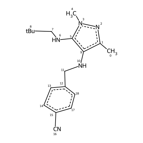 Cc1nn(C)c(NCC(C)(C)C)c1NCc1ccc(C#N)cc1